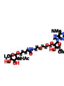 CNc1ncnc2c1ncn2C1O[C@H](COC)[C@@H](O)[C@H]1OCOCCOCCNC(=O)CCCCOC1OC(C)C(O)C(O)[C@@H]1NC(C)=O